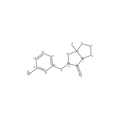 CC12CCCN1C(=O)N(Cc1cccc(Cl)c1)C2